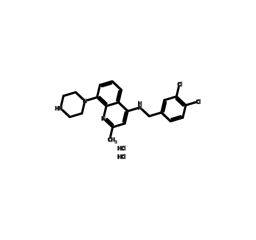 Cc1cc(NCc2ccc(Cl)c(Cl)c2)c2cccc(N3CCNCC3)c2n1.Cl.Cl